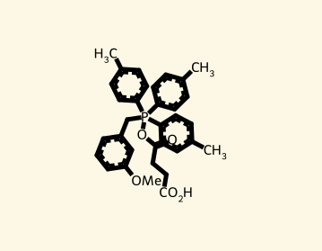 COc1cccc(CP(OC(=O)CCC(=O)O)(c2ccc(C)cc2)(c2ccc(C)cc2)c2ccc(C)cc2)c1